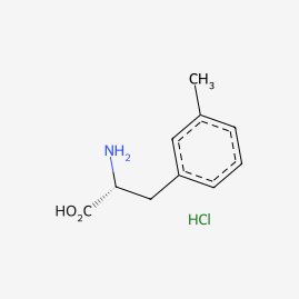 Cc1cccc(C[C@@H](N)C(=O)O)c1.Cl